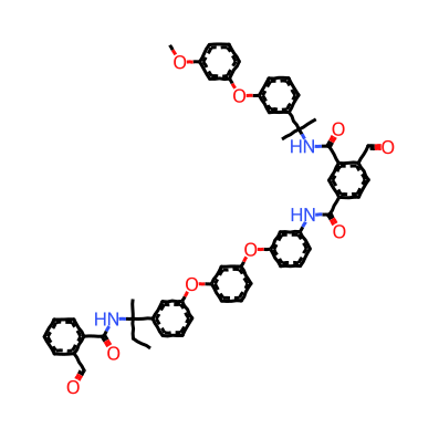 CCC(C)(NC(=O)c1ccccc1C=O)c1cccc(Oc2cccc(Oc3cccc(NC(=O)c4ccc(C=O)c(C(=O)NC(C)(C)c5cccc(Oc6cccc(OC)c6)c5)c4)c3)c2)c1